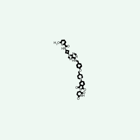 Cc1cccc(C(=O)NC2CC(n3cnc4c(NCc5ccc(OCC6CCN(c7ccc8c(c7)C(=O)N([C@H]7CCC(=O)NC7=O)C8=O)CC6)cc5)ncnc43)C2)n1